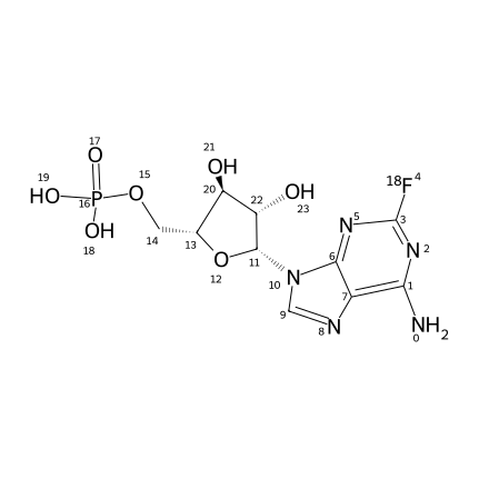 Nc1nc([18F])nc2c1ncn2[C@@H]1O[C@H](COP(=O)(O)O)[C@@H](O)[C@@H]1O